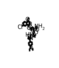 CCN(CC)c1ccc(-c2csc(N[C@H](C(=O)N3C[C@H](Oc4ncc(OC)c5ccc(Cl)cc45)C[C@H]3C(N)=O)C(C)(C)C)n2)cc1